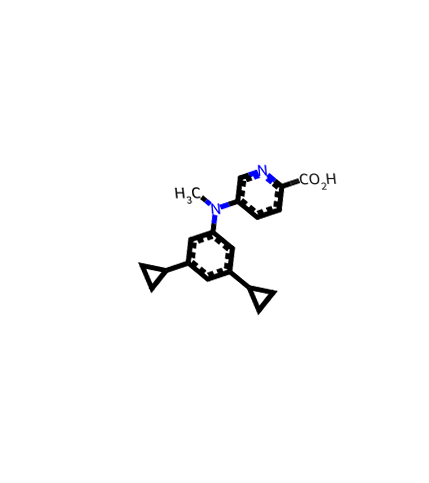 CN(c1ccc(C(=O)O)nc1)c1cc(C2CC2)cc(C2CC2)c1